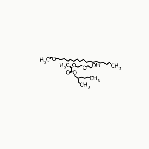 C=C(OCCOCCO)C(=O)OCC(CC)CCCC.C=COCCCCCCCCCCCCCCCCCC